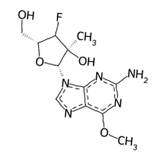 COc1nc(N)nc2c1ncn2[C@@H]1O[C@H](CO)C(F)[C@@]1(C)O